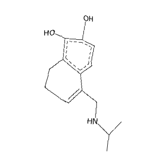 CC(C)NCC1=CCCc2c1ccc(O)c2O